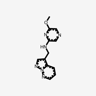 COc1cncc(NCc2cnn3ncccc23)n1